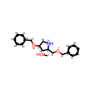 CO.c1ccc(COCC2CC(OCc3ccccc3)CN2)cc1